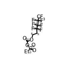 CCS(=O)(=O)OC(=O)OCCC(F)(F)C(F)(F)C(F)(F)C(F)(F)F